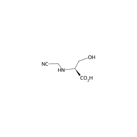 N#CCN[C@@H](CO)C(=O)O